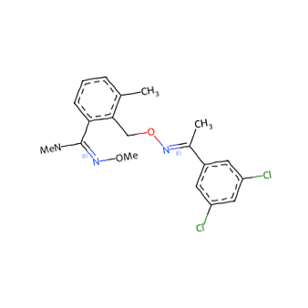 CN/C(=N/OC)c1cccc(C)c1CO/N=C(\C)c1cc(Cl)cc(Cl)c1